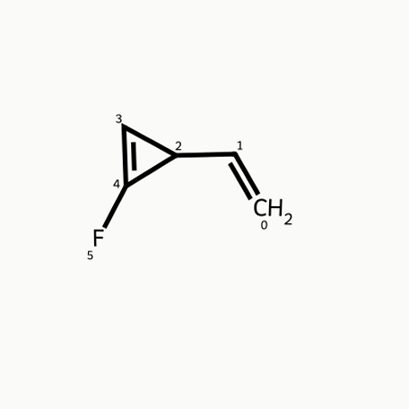 C=CC1C=C1F